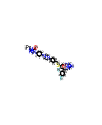 CC(C)n1ncn(-c2ccc(N3CCN(c4ccc(CSC5COC(Cn6cncn6)(c6ccc(F)cc6F)C5)cc4)CC3)cc2)c1=O